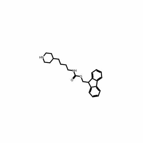 O=C(NCCCCC1CCNCC1)OCC1c2ccccc2-c2ccccc21